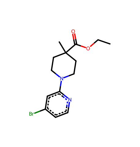 CCOC(=O)C1(C)CCN(c2cc(Br)ccn2)CC1